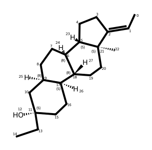 CC=C1CC[C@H]2[C@@H]3CC[C@@H]4C[C@](O)(CC)CC[C@@H]4[C@H]3CC[C@]12C